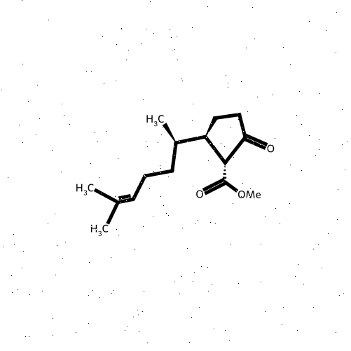 COC(=O)[C@H]1C(=O)CC[C@@H]1[C@H](C)CCC=C(C)C